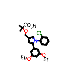 CCOc1cc(OCC)cc(-c2cc(COC(C)(C)C(=O)O)cn2-c2ccccc2Cl)c1